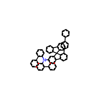 c1ccc(-c2ccc(-c3cccc4c3C3(c5ccccc5-c5ccccc53)c3cc(N(c5ccccc5-c5ccccc5)c5ccccc5-c5ccccc5)ccc3-4)cc2)cc1